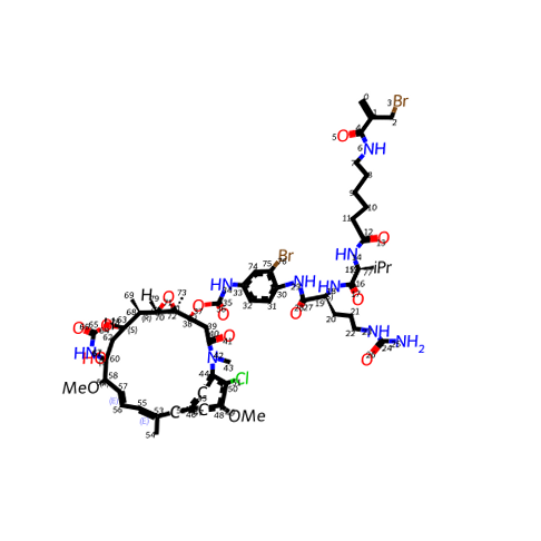 C=C(CBr)C(=O)NCCCCCC(=O)N[C@H](C(=O)N[C@@H](CCCNC(N)=O)C(=O)Nc1ccc(NC(=O)O[C@H]2CC(=O)N(C)c3cc(cc(OC)c3Cl)C/C(C)=C/C=C/[C@@H](OC)[C@@]3(O)C[C@H](OC(=O)N3)[C@@H](C)[C@@H]3O[C@@]23C)cc1Br)C(C)C